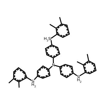 Cc1cccc([SiH2]c2ccc(N(c3ccc([SiH2]c4cccc(C)c4C)cc3)c3ccc([SiH2]c4cccc(C)c4C)cc3)cc2)c1C